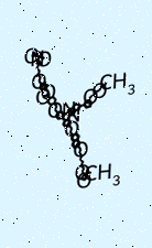 CCCOCCOc1cccc(-c2ccc3nc4c5cc(OCC6CCC(C(=O)Oc7ccc(OCCCCCCN8C(=O)C=CC8=O)cc7)CC6)ccc5c5ccc(OCc6ccc7cc(OCCCCCCOC8(CC)COC8)ccc7c6)cc5c4nc3c2)c1